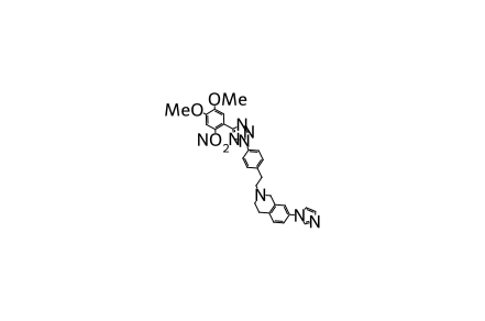 COc1cc(-c2nnn(-c3ccc(CCN4CCc5ccc(-n6ccnc6)cc5C4)cc3)n2)c([N+](=O)[O-])cc1OC